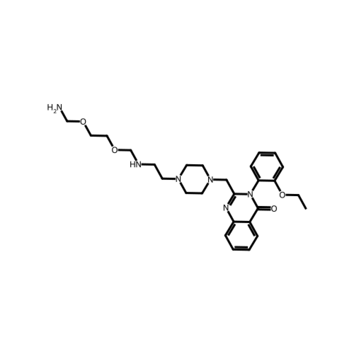 CCOc1ccccc1-n1c(CN2CCN(CCNCOCCOCN)CC2)nc2ccccc2c1=O